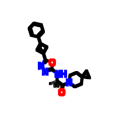 C[C@H](Nc1nnc(C23CC(c4ccccc4)(C2)C3)o1)C(=O)N1CCC2(CC1)CC2